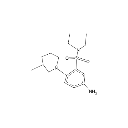 CCN(CC)S(=O)(=O)c1cc(N)ccc1N1CCCC(C)C1